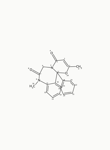 CC1=CC(=O)N2CC(=O)N(C)c3ccccc3C2(c2ccccc2)O1